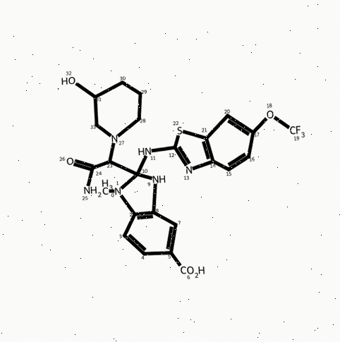 CN1c2ccc(C(=O)O)cc2NC1(Nc1nc2ccc(OC(F)(F)F)cc2s1)C(C(N)=O)N1CCCC(O)C1